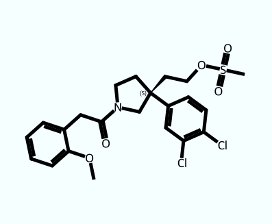 COc1ccccc1CC(=O)N1CC[C@](CCOS(C)(=O)=O)(c2ccc(Cl)c(Cl)c2)C1